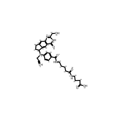 C#CCN(c1ccc(C(=O)NCCCCC(=O)NCCCC(=O)O)cc1)C1CCc2cc3nc(CO)[nH]c(=O)c3cc21